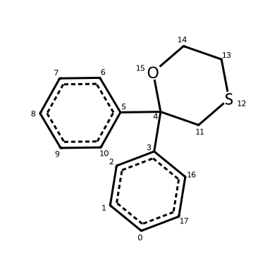 c1ccc(C2(c3ccccc3)CSCCO2)cc1